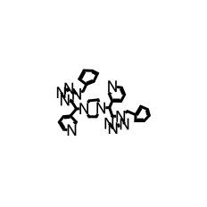 c1ccc(Cn2nnnc2C(c2cccnc2)N2CCN(C(c3cccnc3)c3nnnn3Cc3ccccc3)CC2)cc1